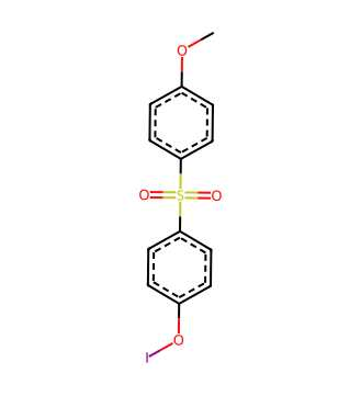 COc1ccc(S(=O)(=O)c2ccc(OI)cc2)cc1